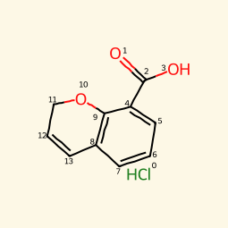 Cl.O=C(O)c1cccc2c1OCC=C2